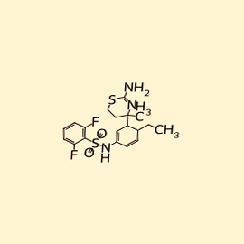 CCC1C=CC(NS(=O)(=O)c2c(F)cccc2F)=CC1C1(C)CCSC(N)=N1